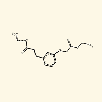 CCOC(=O)CSc1cccc(SCC(=O)OCC)c1